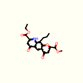 CCCc1c2[nH]c(C(=O)OCC)cc(=O)c2cc2c(=O)cc(C(=O)OC)oc12